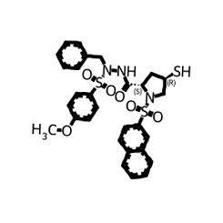 COc1ccc(S(=O)(=O)N(Cc2ccccc2)NC(=O)[C@@H]2C[C@@H](S)CN2S(=O)(=O)c2ccc3ccccc3c2)cc1